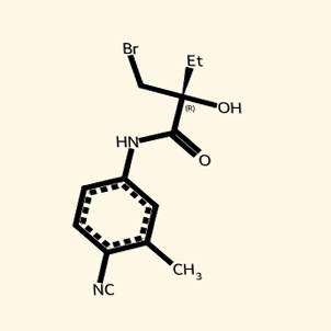 [C-]#[N+]c1ccc(NC(=O)[C@](O)(CC)CBr)cc1C